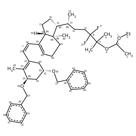 CCOC(C)OC(C)(C)C(F)(F)CC[C@@H](C)[C@H]1CC[C@H]2C(/C=C\C3=C(C)[C@H](OCc4ccccc4)C[C@@H](OCc4ccccc4)C3)=CCC[C@]12C